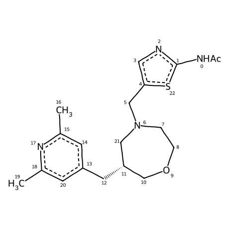 CC(=O)Nc1ncc(CN2CCOC[C@H](Cc3cc(C)nc(C)c3)C2)s1